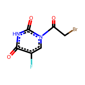 O=C(CBr)n1cc(F)c(=O)[nH]c1=O